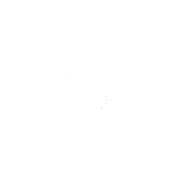 Cc1oc(P)cc1N(C)C